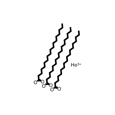 CCCCCCCCCCCCCCCCCC(=O)[O-].CCCCCCCCCCCCCCCCCC(=O)[O-].CCCCCCCCCCCCCCCCCC(=O)[O-].[Ho+3]